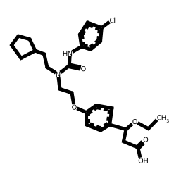 CCOC(CC(=O)O)c1ccc(OCCN(CCC2CCCC2)C(=O)Nc2ccc(Cl)cc2)cc1